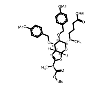 COC(=O)CCCN(C)[C@@H]1O[C@@H]2SC(N(C)C(=O)OC(C)(C)C)=N[C@@H]2[C@@H](OCc2ccc(OC)cc2)[C@H]1OCc1ccc(OC)cc1